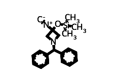 [C-]#[N+]C1(O[Si](C)(C)C)CN(C(c2ccccc2)c2ccccc2)C1